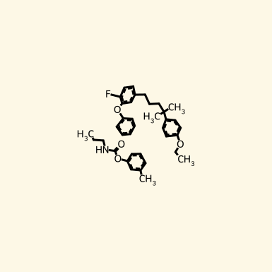 CCCNC(=O)Oc1cccc(C)c1.CCOc1ccc(C(C)(C)CCCc2ccc(F)c(Oc3ccccc3)c2)cc1